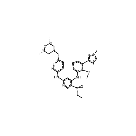 CCC(=O)c1cnc(Nc2ccc(CN3C[C@@H](C)O[C@@H](C)C3)cn2)cc1Nc1cccc(-c2ncn(C)n2)c1OC